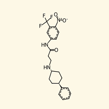 O=C(CCN[C@H]1CC[C@H](c2ccccc2)CC1)Nc1ccc([N+](=O)[O-])c(C(F)(F)F)c1